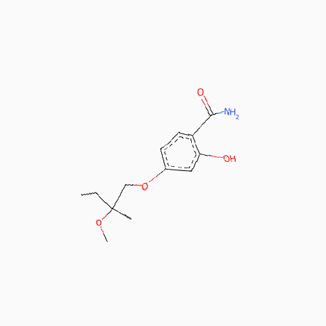 CCC(C)(COc1ccc(C(N)=O)c(O)c1)OC